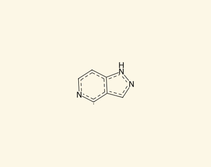 [c]1nccc2[nH]ncc12